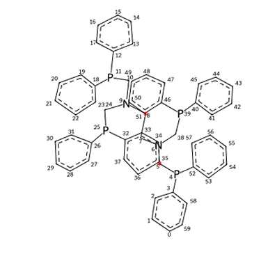 c1ccc(P(CN(CCN(CP(c2ccccc2)c2ccccc2)CP(c2ccccc2)c2ccccc2)CP(c2ccccc2)c2ccccc2)c2ccccc2)cc1